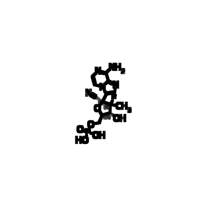 C[C@@]1(F)[C@H](O)[C@@H](COP(=O)(O)O)O[C@@]1(C#N)c1cnc2c(N)nccn12